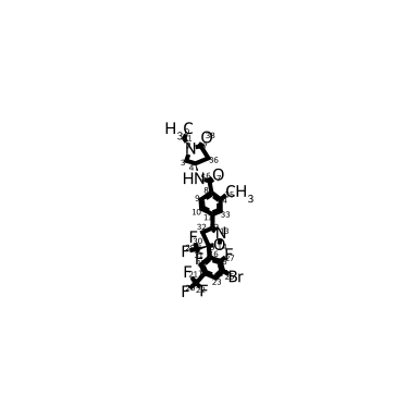 CCN1C[C@@H](NC(=O)c2ccc(C3=NO[C@@](c4cc(C(F)(F)F)cc(Br)c4F)(C(F)(F)F)C3)cc2C)CC1=O